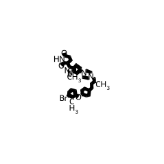 Cc1c(Br)cccc1OC1CCC(CC[C@@H](C)CN2CCN(c3ccc4c(C5CCC(=O)NC5=O)nn(C)c4c3)CC2)CC1